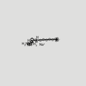 Cc1nc2c(cc1C(=O)NC(=N)N)CCCCC2COC(=O)NCCOCCOCCOCCOCCOCCOS(=O)(=O)[O-].[Na+]